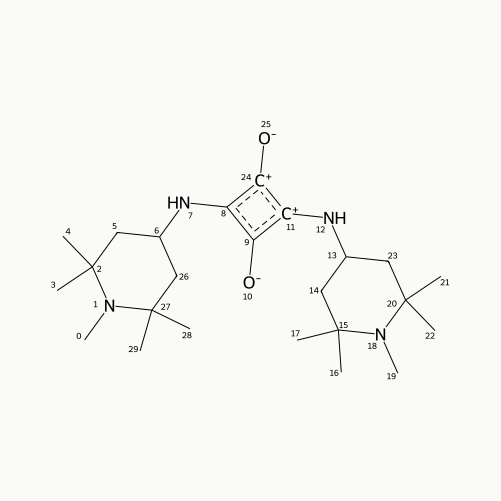 CN1C(C)(C)CC(Nc2c([O-])[c+](NC3CC(C)(C)N(C)C(C)(C)C3)[c+]2[O-])CC1(C)C